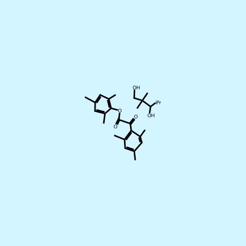 CC(C)C(O)C(C)(C)CO.Cc1cc(C)c(OC(=O)C(=O)c2c(C)cc(C)cc2C)c(C)c1